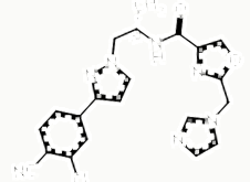 C[C@@H](Cn1ccc(-c2ccc(C#N)c(Cl)c2)n1)NC(=O)c1coc(Cn2ccnc2)n1